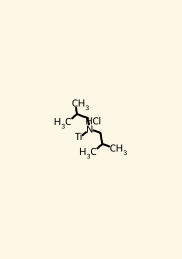 CC(C)C[N]([Ti])CC(C)C.Cl